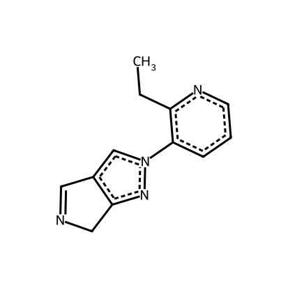 CCc1ncccc1-n1cc2c(n1)CN=C2